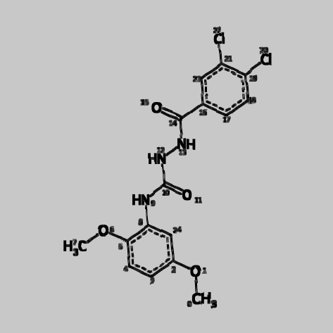 COc1ccc(OC)c(NC(=O)NNC(=O)c2ccc(Cl)c(Cl)c2)c1